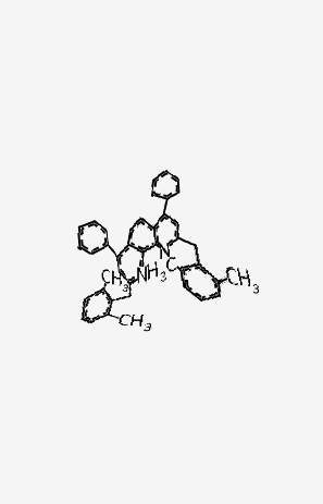 Cc1cccc(C)c1Cc1cc(-c2ccccc2)c2ccc3c(-c4ccccc4)cc(Cc4c(C)cccc4C)nc3c2n1